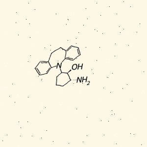 N[C@@H]1CCCC(N2c3ccccc3CCc3ccccc32)[C@H]1O